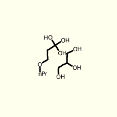 CCCOCCC(O)(O)O.OCC(O)CO